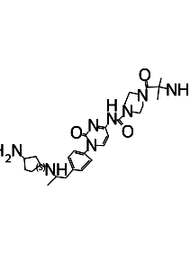 CC(Cc1ccc(-n2ccc(NC(=O)N3CCN(C(=O)C(C)(C)N)CC3)nc2=O)cc1)N[C@H]1CCC(N)C1